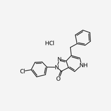 Cl.O=c1c2c[nH]cc(Cc3ccccc3)c-2nn1-c1ccc(Cl)cc1